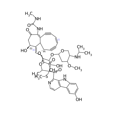 CNC(=O)NC1=C2C#C/C=C\C#C[C@H](OC3OC(C)C(SC)(C(=O)c4nccc5c4[nH]c4ccc(O)cc45)C(O)C3OC3CC(OC)C(NC(C)C)CO3)C2/C(=C\CSC(C)=O)[C@@H](O)CC1=O